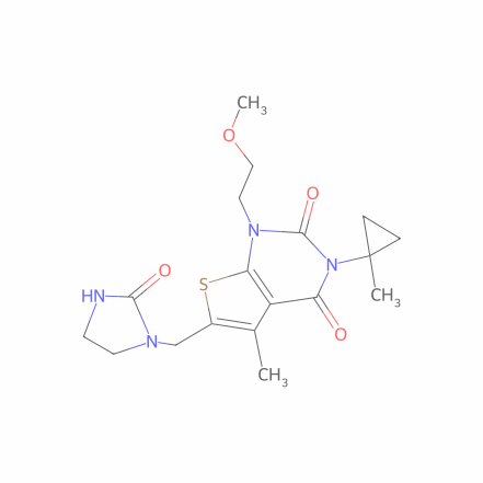 COCCn1c(=O)n(C2(C)CC2)c(=O)c2c(C)c(CN3CCNC3=O)sc21